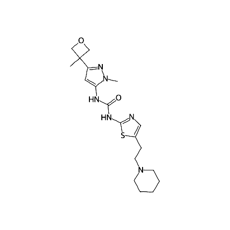 Cn1nc(C2(C)COC2)cc1NC(=O)Nc1ncc(CCN2CCCCC2)s1